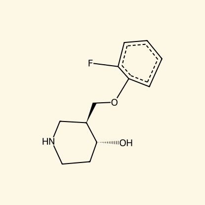 O[C@@H]1CCNC[C@H]1COc1ccccc1F